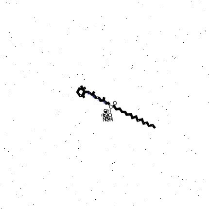 CCCCCCCCCCCCCCCC(=O)OC/C=C(C)/C=C/C=C(C)/C=C/C1=C(C)CCCC1(C)C.O=S(=O)(O)O.[NaH]